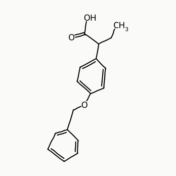 CCC(C(=O)O)c1ccc(OCc2ccccc2)cc1